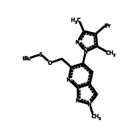 Cc1nn(-c2cc3cn(C)nc3nc2COSC(C)(C)C)c(C)c1C(C)C